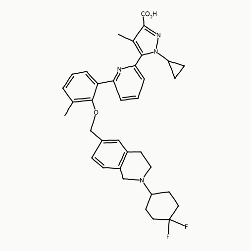 Cc1cccc(-c2cccc(-c3c(C)c(C(=O)O)nn3C3CC3)n2)c1OCc1ccc2c(c1)CCN(C1CCC(F)(F)CC1)C2